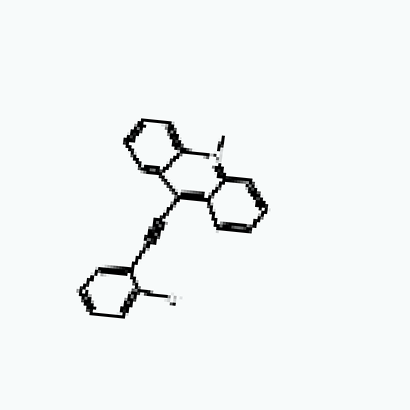 C[n+]1c2ccccc2c(C#Cc2ccccc2Br)c2ccccc21